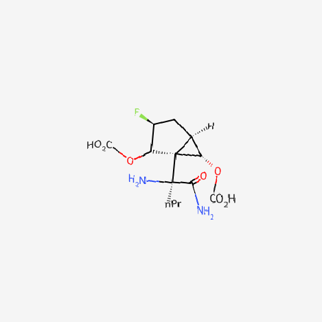 CCC[C@@](N)(C(N)=O)[C@@]12C(OC(=O)O)[C@@H](F)C[C@H]1[C@@H]2OC(=O)O